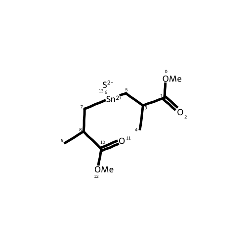 COC(=O)C(C)[CH2][Sn+2][CH2]C(C)C(=O)OC.[S-2]